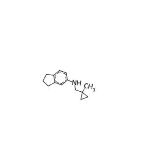 CC1(CNc2ccc3c(c2)CCC3)CC1